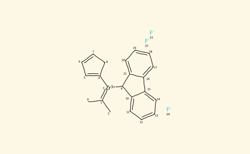 C[C](C)=[Zr+3]([C]1=CC=CC1)[CH]1c2ccccc2-c2ccccc21.[F-].[F-].[F-]